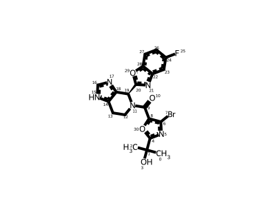 CC(C)(O)c1nc(Br)c(C(=O)N2CCc3[nH]cnc3[C@H]2c2nc3cc(F)ccc3o2)o1